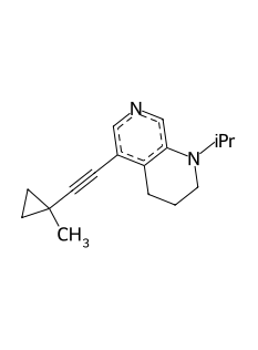 CC(C)N1CCCc2c(C#CC3(C)CC3)cncc21